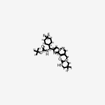 CC1(F)CNC(=O)N(Cc2cnn3cc([C@@H](NC(=O)OC(C)(C)C)C4CCC(F)(F)CC4)nc3c2)C1